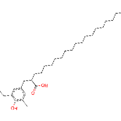 CCCCCCCCCCCCCCCCCCC(Cc1cc(C)c(O)c(CC)c1)C(=O)O